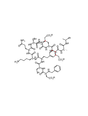 CCCC[C@H](NC(=O)[C@H](CCC(N)=O)NC(=O)[C@H](CCCCN)NC(=O)[C@@H](CCc1ccccc1)NC(=O)[C@H](CC(C)C)NC(=O)[C@H](CC(=O)O)NCc1ccccc1)C(=O)N[C@@H](CCC(=O)O)C(=O)N[C@@H](CCC(=O)O)C(=O)N[C@@H](CCC(=O)O)C(=O)N[C@@H](C)C(=O)NC(C)C(C)C